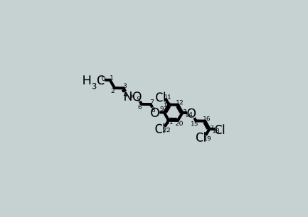 CCCC=NOCCOc1c(Cl)cc(OCC=C(Cl)Cl)cc1Cl